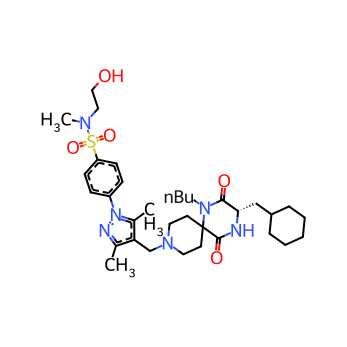 CCCCN1C(=O)[C@H](CC2CCCCC2)NC(=O)C12CCN(Cc1c(C)nn(-c3ccc(S(=O)(=O)N(C)CCO)cc3)c1C)CC2